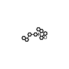 c1cc(-c2ccc(N(c3cccc4ccccc34)c3cccc4oc5ccccc5c34)cc2)cc(-c2cccc3ccccc23)c1